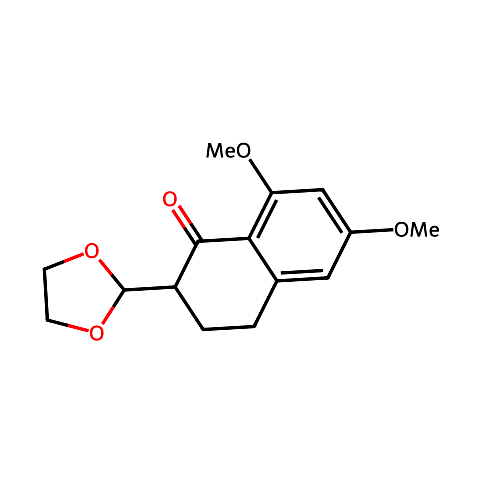 COc1cc2c(c(OC)c1)C(=O)C(C1OCCO1)CC2